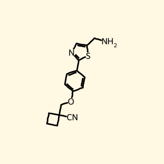 N#CC1(COc2ccc(-c3ncc(CN)s3)cc2)CCC1